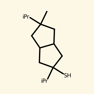 CC(C)C1(C)CC2CC(S)(C(C)C)CC2C1